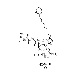 CC(=O)N1CCC[C@H]1C(=O)N[C@H]1CC(C)N([C@@H](Cc2cncn2CCCCCCCCc2ccccc2)C(=O)N[C@@H](CO)C(=O)N[C@@H](C(N)=O)[C@H](C)CP(=O)(O)O)C1=O